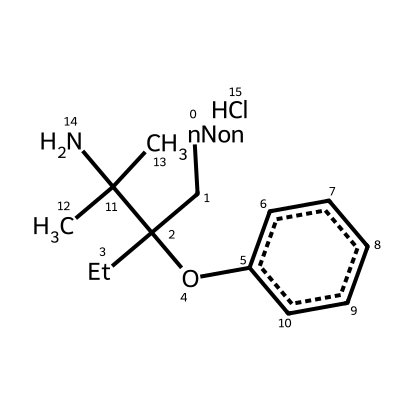 CCCCCCCCCCC(CC)(Oc1ccccc1)C(C)(C)N.Cl